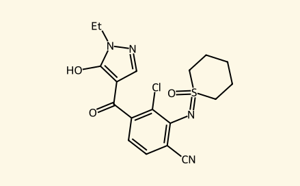 CCn1ncc(C(=O)c2ccc(C#N)c(N=S3(=O)CCCCC3)c2Cl)c1O